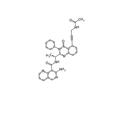 CC(=O)NCC#Cc1cccc2nc([C@H](C)NC(=O)c3c(N)ncc4cccnc34)n(-c3ccccc3)c(=O)c12